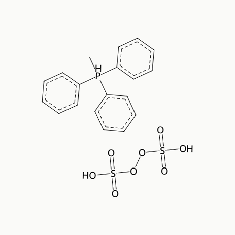 C[PH](c1ccccc1)(c1ccccc1)c1ccccc1.O=S(=O)(O)OOS(=O)(=O)O